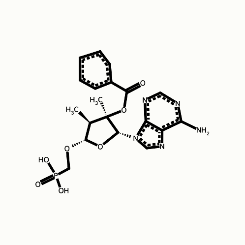 C[C@@H]1[C@@H](OCP(=O)(O)O)O[C@@H](n2cnc3c(N)ncnc32)[C@]1(C)OC(=O)c1ccccc1